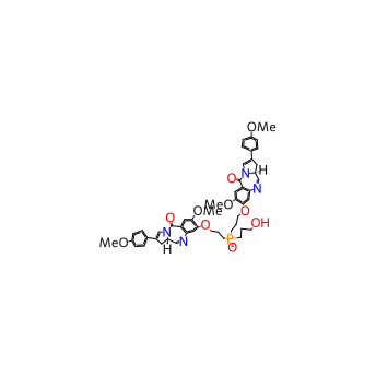 COc1ccc(C2=CN3C(=O)c4cc(OC)c(OCCCP(=O)(CCCO)CCCOc5cc6c(cc5OC)C(=O)N5C=C(c7ccc(OC)cc7)C[C@H]5C=N6)cc4N=C[C@@H]3C2)cc1